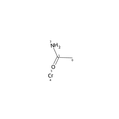 CC(N)=O.[Cr]